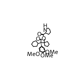 COc1cc([C@](C(=O)OC(=O)C2CCCCN2)(C2CCCCC2)C2(C)CCCC2)cc(OC)c1OC